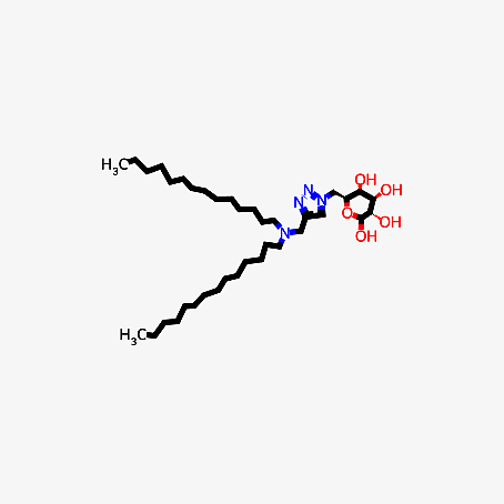 CCCCCCCCCCCCCCN(CCCCCCCCCCCCCC)Cc1cn(C[C@@H]2OC(O)[C@@H](O)[C@H](O)[C@@H]2O)nn1